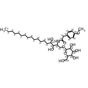 CCCCCCCCCCCCCCC(O)C(O)C(COC1OC(CO)C(O)C(O)C1O)NC(=O)Cc1ccc(OC)cc1